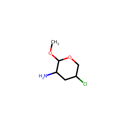 COC1OCC(Cl)C[C]1N